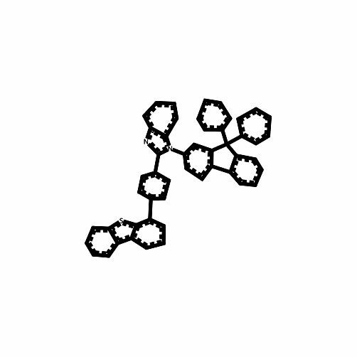 c1ccc(C2(c3ccccc3)c3ccccc3-c3ccc(-n4c(-c5ccc(-c6cccc7c6sc6ccccc67)cc5)nc5ccccc54)cc32)cc1